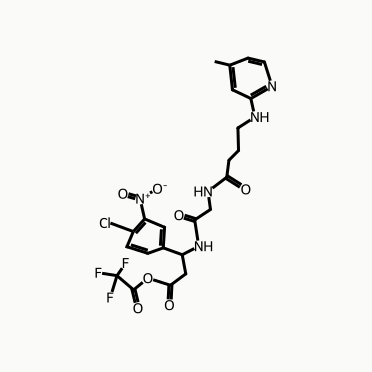 Cc1ccnc(NCCCC(=O)NCC(=O)NC(CC(=O)OC(=O)C(F)(F)F)c2ccc(Cl)c([N+](=O)[O-])c2)c1